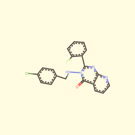 O=c1c2cccnc2nc(-c2ccccc2F)n1NCc1ccc(Cl)cc1